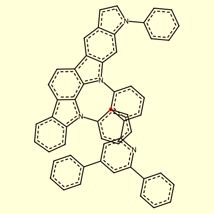 c1ccc(-c2cc(-c3ccccc3)nc(-c3cccc(-n4c5cc6c(ccn6-c6ccccc6)cc5c5ccc6c7ccccc7n(-c7ccccc7)c6c54)c3)c2)cc1